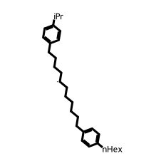 CCCCCCc1ccc(CCCCCC[CH]CCCCc2ccc(C(C)C)cc2)cc1